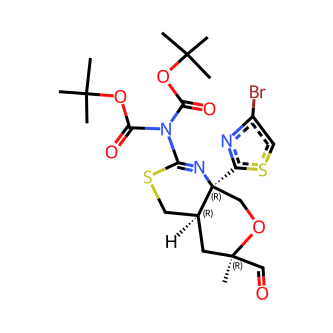 CC(C)(C)OC(=O)N(C(=O)OC(C)(C)C)C1=N[C@@]2(c3nc(Br)cs3)CO[C@@](C)(C=O)C[C@H]2CS1